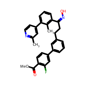 COC(=O)c1ccc(-c2cccc(CC/C(=N/O)c3cccc(-c4ccnc(C)c4)c3C)c2)cc1F